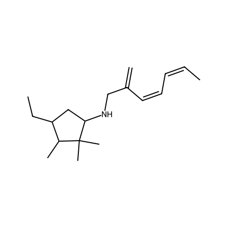 C=C(/C=C\C=C/C)CNC1CC(CC)C(C)C1(C)C